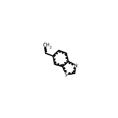 C=Cc1ccc2ncsc2c1